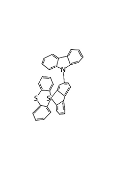 c1ccc2c(c1)Sc1ccccc1[Si]21c2ccccc2-c2ccc(-n3c4ccccc4c4ccccc43)cc21